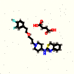 Fc1ccc(CCOCCCN2CCC(NC3=Nc4ccccc4CS3)CC2)cc1F.O=C(O)C=CC(=O)O